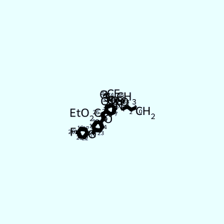 C=CCCCN(c1cc2oc(-c3ccc(Oc4ccc(F)cc4)cc3)c(C(=O)OCC)c2cc1OS(=O)(=O)C(F)(F)F)S(C)(=O)=O